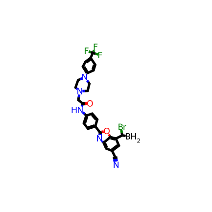 BC(Br)c1cc(C#N)cc2nc(-c3ccc(NC(=O)CN4CCN(c5ccc(C(F)(F)F)cc5)CC4)cc3)oc12